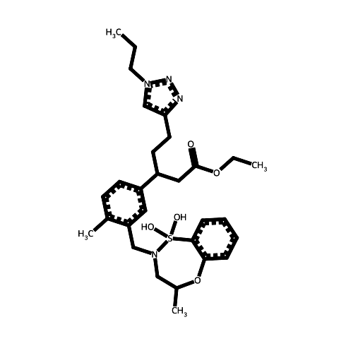 CCCn1cc(CCC(CC(=O)OCC)c2ccc(C)c(CN3CC(C)Oc4ccccc4S3(O)O)c2)nn1